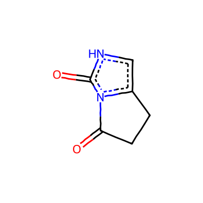 O=C1CCc2c[nH]c(=O)n21